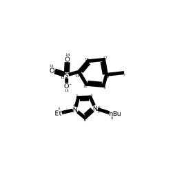 CCCC[n+]1ccn(CC)c1.Cc1ccc(S(=O)(=O)[O-])cc1